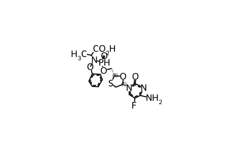 CC(C(=O)O)N(Oc1ccccc1)[PH](=O)OC[C@@H]1O[C@H](n2cc(F)c(N)nc2=O)CS1